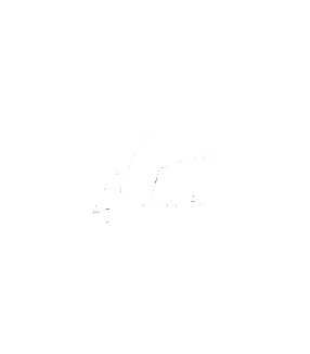 CC(=O)[O-].O=C([O-])CC(=O)[O-].[Ag+].[Ag+].[Ag+]